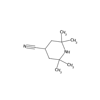 CC1(C)CC(C#N)CC(C)(C)N1